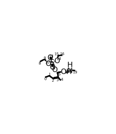 CCC=C(C)C(=O)O.CCOS(=O)(=O)OCC.CNC